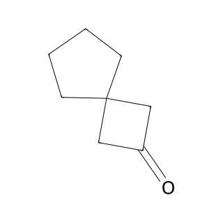 O=C1CC2(CCCC2)C1